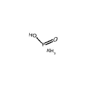 O=PO.[AlH3]